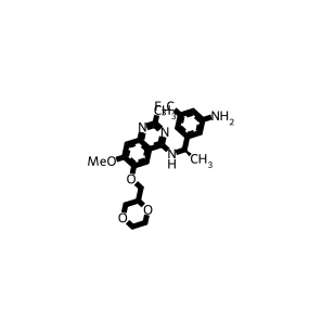 COc1cc2nc(C)nc(N[C@H](C)c3cc(N)cc(C(F)(F)F)c3)c2cc1OCC1COCCO1